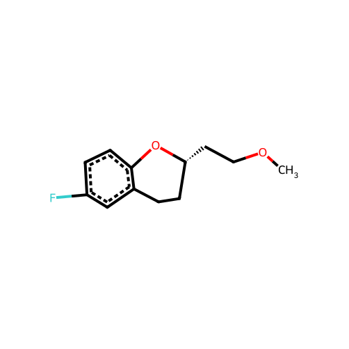 COCC[C@@H]1CCc2cc(F)ccc2O1